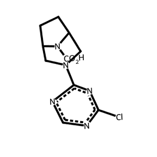 O=C(O)N1C2CCC1CN(c1ncnc(Cl)n1)C2